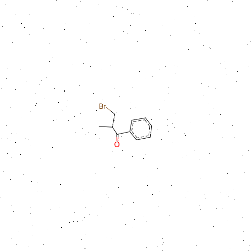 CC(CBr)C(=O)c1ccccc1